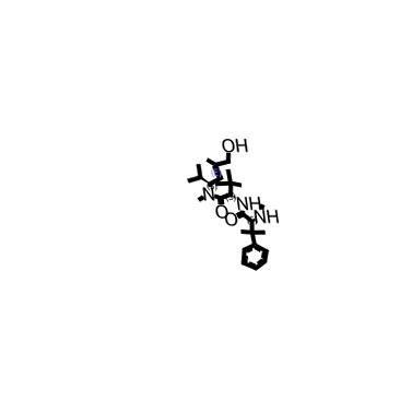 CN[C@H](C(=O)N[C@H](C(=O)N(C)[C@H](/C=C(\C)CO)C(C)C)C(C)(C)C)C(C)(C)c1ccccc1